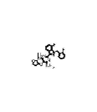 Nc1nc(-c2nn(Cc3ccccc3F)c3c(F)cccc23)nc(N)c1OC1CCOC1